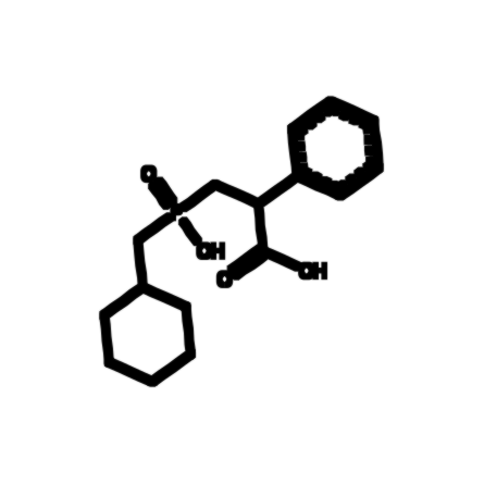 O=C(O)C(CP(=O)(O)CC1CCCCC1)c1ccccc1